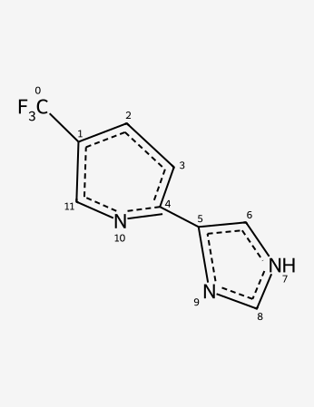 FC(F)(F)c1ccc(-c2c[nH]cn2)nc1